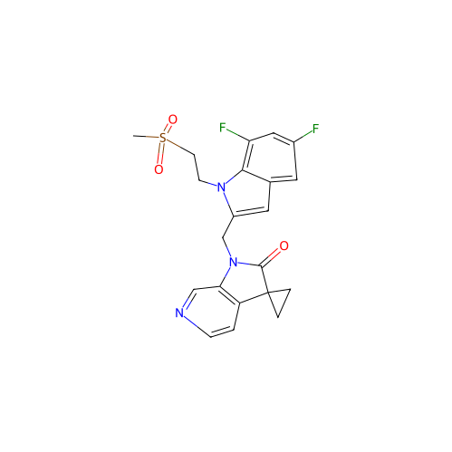 CS(=O)(=O)CCn1c(CN2C(=O)C3(CC3)c3ccncc32)cc2cc(F)cc(F)c21